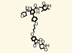 CCN(c1cc(-c2ccc(OCCCCOc3ccc4c(c3)C(=O)N(C3CCC(=O)NC3=O)C4=O)cc2)cc(C(=O)NCc2c(C)cc(C)[nH]c2=O)c1C)C1CCOCC1